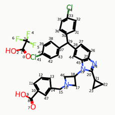 O=C(O)C(F)(F)F.O=C(O)c1cccc(CN2CC(n3c(C4CC4)nc4ccc(C(c5ccc(Cl)cc5)c5ccc(Cl)cc5)cc43)C2)c1